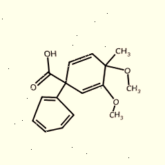 COC1=CC(C(=O)O)(c2ccccc2)C=CC1(C)OC